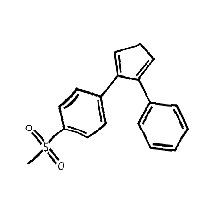 CS(=O)(=O)c1ccc(C2=CCC=C2c2ccccc2)cc1